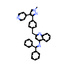 Cn1cc(-c2ccncc2)c(-c2ccc(Cc3cc(N=C(c4ccccc4)c4ccccc4)c4ccccc4n3)cc2)n1